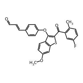 COc1ccc2c(Oc3ccc(/C=C/C=O)cc3)c(C(=O)c3cc(F)ccc3C)sc2c1